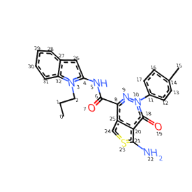 CCCn1c(NC(=O)c2nn(-c3ccc(C)cc3)c(=O)c3c(N)scc23)cc2ccccc21